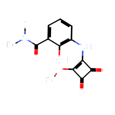 CCOc1c(Nc2cccc(C(=O)N(CC)CC)c2O)c(=O)c1=O